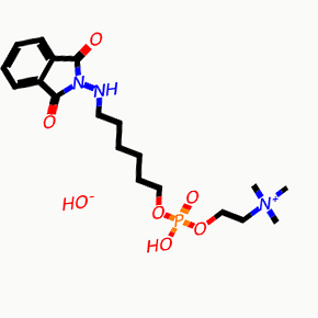 C[N+](C)(C)CCOP(=O)(O)OCCCCCCNN1C(=O)c2ccccc2C1=O.[OH-]